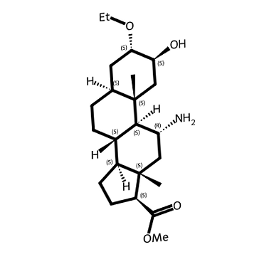 CCO[C@H]1C[C@@H]2CC[C@@H]3[C@H]([C@H](N)C[C@]4(C)[C@@H](C(=O)OC)CC[C@@H]34)[C@@]2(C)C[C@@H]1O